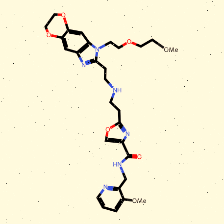 COCCOCCn1c(CCNCCc2nc(C(=O)NCc3ncccc3OC)co2)nc2cc3c(cc21)OCCO3